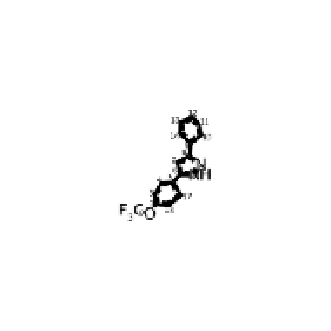 FC(F)(F)Oc1ccc(-c2cc(-c3ccccc3)n[nH]2)cc1